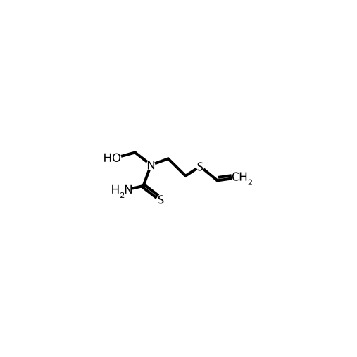 C=CSCCN(CO)C(N)=S